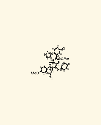 COc1ccc(NC(=O)C(=Cc2ccccc2)n2cc(OC)c(-c3cc(Cl)ccc3-n3cnnn3)cc2=O)c(N)c1